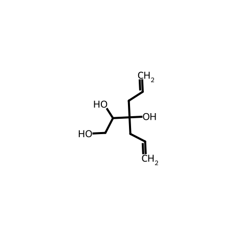 C=CCC(O)(CC=C)C(O)CO